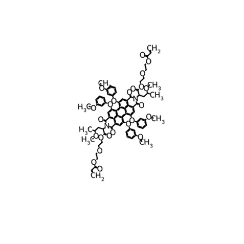 C=CC(=O)OCCOCCOC(=O)C(CC(C)OC)N1C(=O)c2cc(Oc3cccc(OC)c3)c3c4c(Oc5cccc(OC)c5)cc5c6c(cc(Oc7cccc(OC)c7)c(c7c(Oc8cccc(OC)c8)cc(c2c37)C1=O)c64)C(=O)N(C(CC(C)OC)C(=O)OCCOCCOC(=O)C=C)C5=O